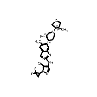 Cc1cc2cnc(Nc3cnn(C4CC4(F)F)c3Cl)nc2cc1[C@H]1CCN([C@H]2COC[C@H]2C)C[C@@H]1F